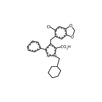 O=C(O)c1c(Cc2cc3c(cc2Cl)OCO3)c(-c2ccccc2)nn1CC1CCCCC1